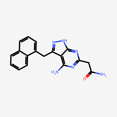 NC(=O)Cc1nc(N)c2c(Cc3cccc4ccccc34)n[nH]c2n1